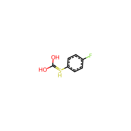 OC(O)=[SH]c1ccc(F)cc1